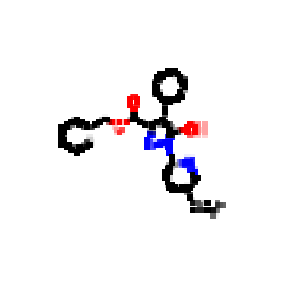 O=C(O)c1ccc(-n2nc(C(=O)OCc3ccccc3)c(-c3ccccc3)c2O)nc1